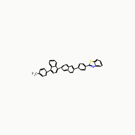 FC(F)(F)c1ccc(-c2ccc(-c3ccc4cc(-c5ccc(-c6nc7ccccc7s6)cc5)ccc4c3)c3ccccc23)cc1